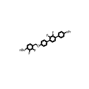 CCCCc1ccc(COc2ccc(-c3ccc(-c4ccc(CCC)cc4)c(F)c3F)cc2)c(F)c1F